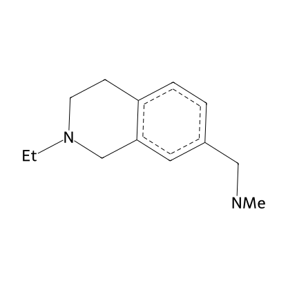 CCN1CCc2ccc(CNC)cc2C1